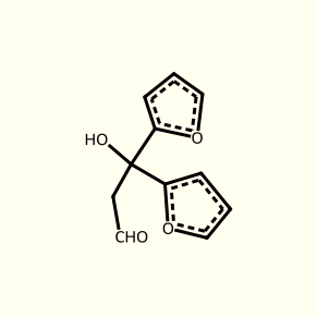 O=CCC(O)(c1ccco1)c1ccco1